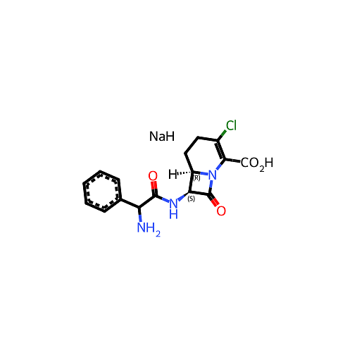 NC(C(=O)N[C@@H]1C(=O)N2C(C(=O)O)=C(Cl)CC[C@H]12)c1ccccc1.[NaH]